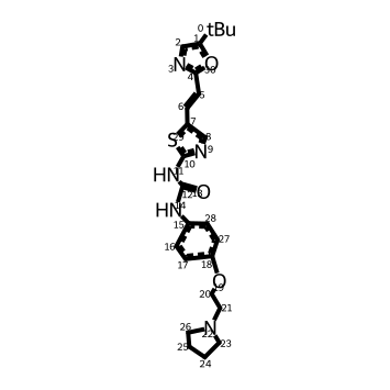 CC(C)(C)c1cnc(/C=C/c2cnc(NC(=O)Nc3ccc(OCCN4CCCC4)cc3)s2)o1